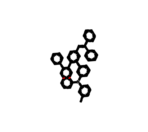 Cc1cccc(N(c2ccccc2)c2cccc(-c3cc(C=C(c4ccccc4)c4ccccc4)ccc3-c3ccccc3-c3ccccc3)c2)c1